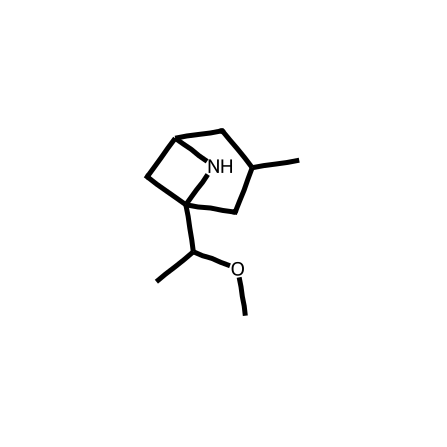 COC(C)C12CC(C)CC(C1)N2